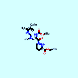 C=C(NCN(CCC)C[C@H](NC(=O)OC(C)(C)C)C(=O)N1CCC[C@@H](C(=O)OCC(C)(C)C)N1)[C@H](C)OC